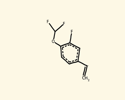 C=[C]c1ccc(OC(F)F)c(F)c1